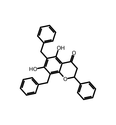 O=C1CC(c2ccccc2)Oc2c(Cc3ccccc3)c(O)c(Cc3ccccc3)c(O)c21